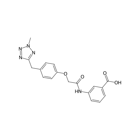 Cn1nnc(Cc2ccc(OCC(=O)Nc3cccc(C(=O)O)c3)cc2)n1